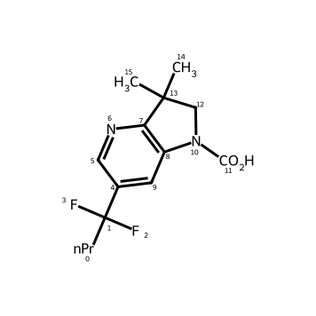 CCCC(F)(F)c1cnc2c(c1)N(C(=O)O)CC2(C)C